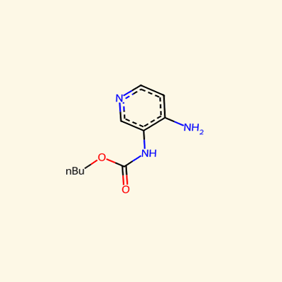 CCCCOC(=O)Nc1cnccc1N